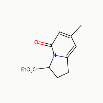 CCOC(=O)C1CCc2cc(C)cc(=O)n21